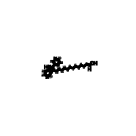 ONCCCCCCCCCCCCc1c(-c2cccnc2)[nH]c2ccccc12